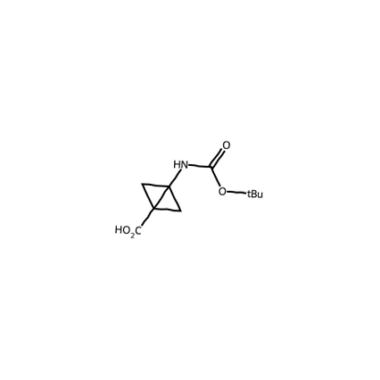 CC(C)(C)OC(=O)NC12CC1(C(=O)O)C2